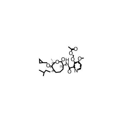 COc1ccnc(C(=O)N[C@H]2CCC[C@H](CCC(C)C)[C@@H](OCC3CC3)[C@H](C)OC2=O)c1OCOC(C)=O